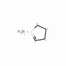 B1=CCCC1.[BiH3]